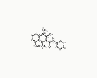 CSc1cccc2c1c(OC(C)=O)c(C(=O)Nc1ccccc1)c(=O)n2C